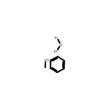 CC(=O)O.CCOCC.c1ccccc1